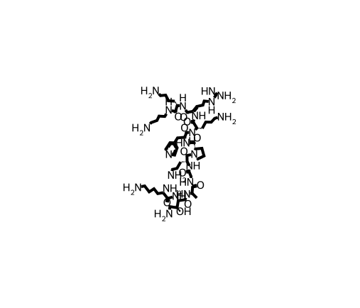 CC(NC(=O)[C@@H](NC(=O)C(N)CCCCN)[C@@H](O)CN)C(=O)NCC(=O)N[C@H](CCCN)C(=O)N1CCC[C@H]1C(=O)NC(Cc1ccncc1)C(=O)N[C@@H](CCCCN)C(=O)N/C(=C\CCNC(=N)N)C(=O)N[C@@H](CCCCN)C(=O)NCCCCN